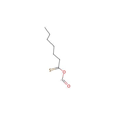 CCCCCCC(=S)O[C]=O